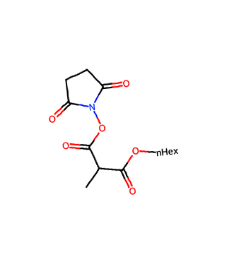 CCCCCCOC(=O)C(C)C(=O)ON1C(=O)CCC1=O